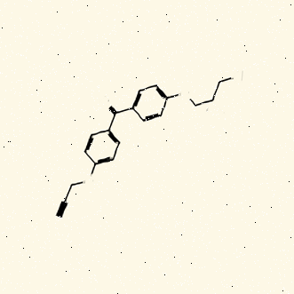 C#CCOc1ccc(C(=O)c2ccc(OC[C@@H](C)CCl)cc2)cc1